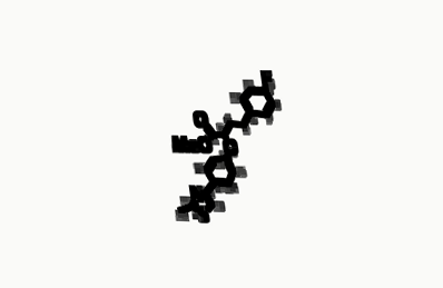 COC(=O)C(CCc1ccc(F)cc1)Oc1ccc(-c2csc(C)n2)cc1